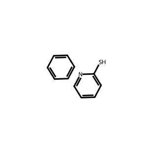 Sc1ccccn1.c1ccccc1